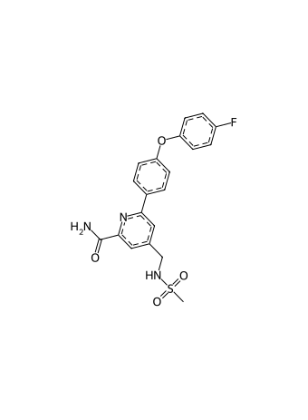 CS(=O)(=O)NCc1cc(C(N)=O)nc(-c2ccc(Oc3ccc(F)cc3)cc2)c1